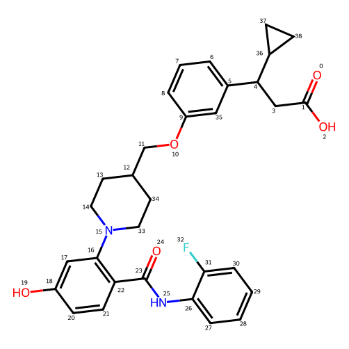 O=C(O)CC(c1cccc(OCC2CCN(c3cc(O)ccc3C(=O)Nc3ccccc3F)CC2)c1)C1CC1